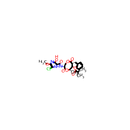 COc1nc(O)c(C(=O)N[C@H]2COC(=O)[C@H](Cc3ccccc3)[C@@H](OC(=O)C(C)C)[C@H](C)OC2=O)nc1Cl